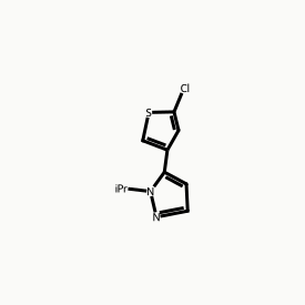 CC(C)n1nccc1-c1csc(Cl)c1